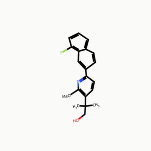 COc1nc(-c2ccc3cccc(F)c3c2)ccc1C(C)(C)CO